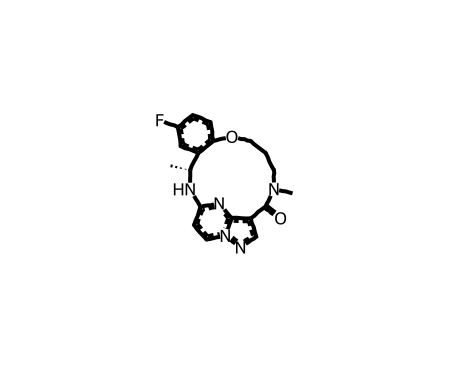 C[C@H]1Nc2ccn3ncc(c3n2)C(=O)N(C)CCCOc2ccc(F)cc21